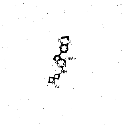 COc1nc(N[C@H]2C[C@]3(CCN3C(C)=O)C2)nn2ccc(-c3ccc4nccnc4c3)c12